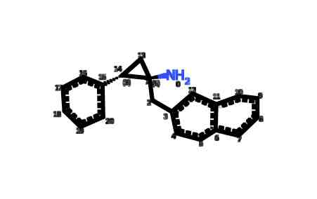 N[C@]1(Cc2ccc3ccccc3c2)C[C@H]1c1ccccc1